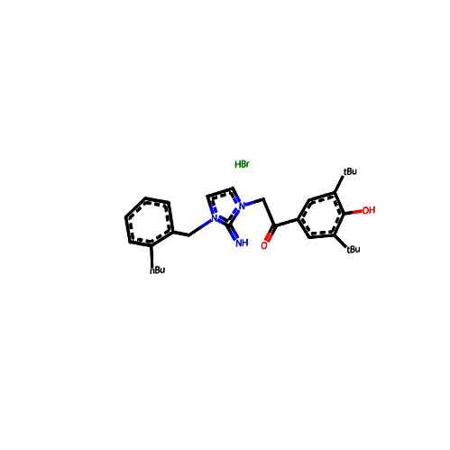 Br.CCCCc1ccccc1Cn1ccn(CC(=O)c2cc(C(C)(C)C)c(O)c(C(C)(C)C)c2)c1=N